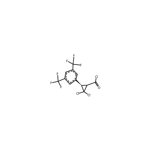 O=C(Cl)C1[C@H](c2cc(C(F)(F)F)cc(C(F)(F)F)c2)C1(Cl)Cl